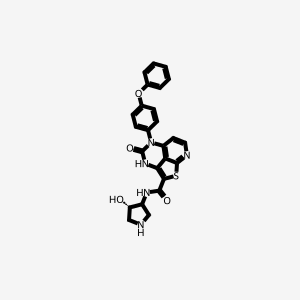 O=C(NC1CNC[C@@H]1O)c1sc2nccc3c2c1NC(=O)N3c1ccc(Oc2ccccc2)cc1